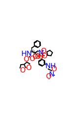 CON(C)C(=O)CNc1cccc(S(=O)(=O)N(C[C@@H](O)[C@H](Cc2ccccc2)NC(=O)OC2COC3OCCC23)OC2CCCC2)c1